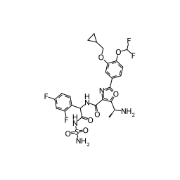 C[C@H](N)c1oc(-c2ccc(OC(F)F)c(OCC3CC3)c2)nc1C(=O)NC(C(=O)NS(N)(=O)=O)c1ccc(F)cc1F